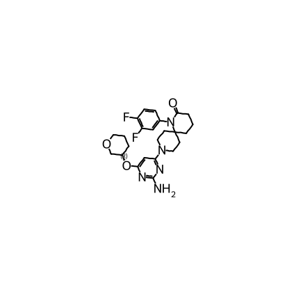 Nc1nc(O[C@@H]2CCCOC2)cc(N2CCC3(CCCC(=O)N3c3ccc(F)c(F)c3)CC2)n1